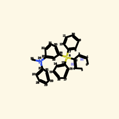 C/C=C\C(=C/C)S(c1ccccc1)(c1ccccc1)c1cccc(N(C)c2ccccc2)c1